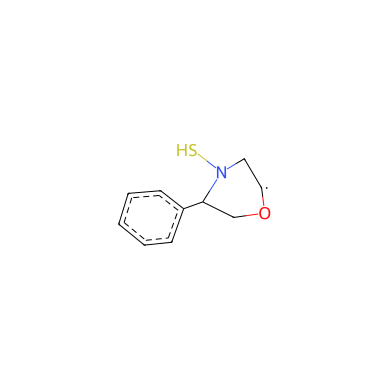 SN1C[CH]OCC1c1ccccc1